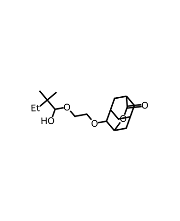 CCC(C)(C)C(O)OCCOC1C2CC3CC(C2)C(=O)OC1C3